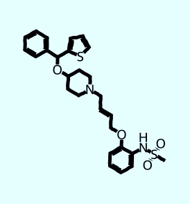 CS(=O)(=O)Nc1ccccc1OC/C=C/CN1CCC(OC(c2ccccc2)c2cccs2)CC1